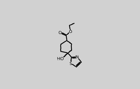 CCOC(=O)C1CCC(O)(c2nccs2)CC1